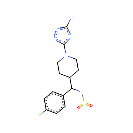 Nc1n[nH]c(N2CCC(C(N[SH](=O)=O)c3ccc(F)cc3)CC2)n1